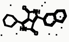 O=C1NC(C2CCCCC2)=C2C(=O)NC(c3ccc4ccccc4c3)=C12